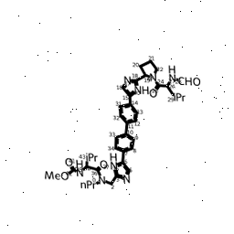 CCCN(Cc1ncc(-c2ccc(-c3ccc(-c4cnc(C5CCCN5C(=O)C(NC=O)C(C)C)[nH]4)cc3)cc2)[nH]1)C(=O)C(NC(=O)OC)C(C)C